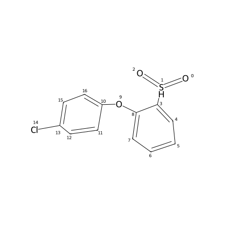 O=[SH](=O)c1ccccc1Oc1ccc(Cl)cc1